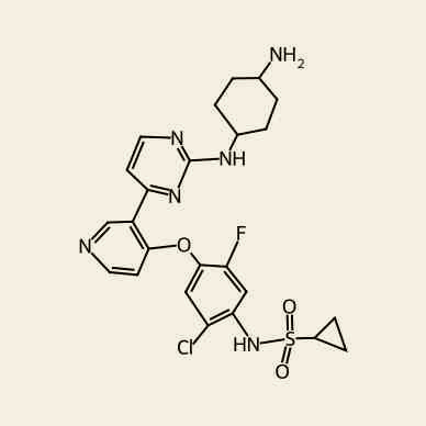 NC1CCC(Nc2nccc(-c3cnccc3Oc3cc(Cl)c(NS(=O)(=O)C4CC4)cc3F)n2)CC1